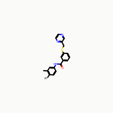 Cc1cc(NC(=O)c2cccc(SCc3cnccn3)c2)ccc1C(C)C